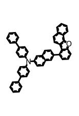 c1ccc(-c2ccc(N(c3ccc(-c4ccccc4)cc3)c3ccc4cc(-c5cccc6oc7c8ccccc8ccc7c56)ccc4c3)cc2)cc1